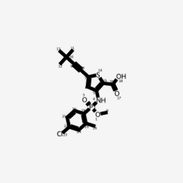 COP(=O)(Nc1cc(C#CC(C)(C)C)sc1C(=O)O)c1ccc(Cl)cc1C